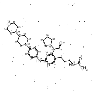 CC(=O)NCCCc1cnc(Nc2ccc(N3CCC(N4CCOCC4)CC3)cc2)nc1N(C=O)C1CCCC1